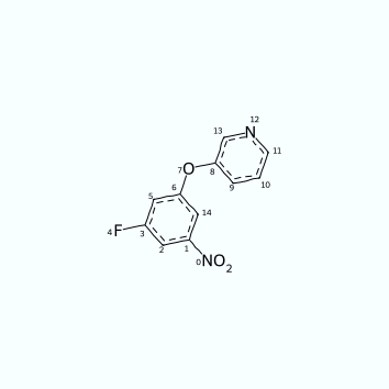 O=[N+]([O-])c1cc(F)cc(Oc2cccnc2)c1